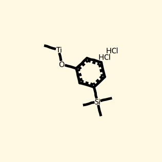 Cl.Cl.[CH3][Ti][O]c1cccc([Si](C)(C)C)c1